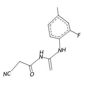 C=C(NC(=O)CC#N)Nc1ccc(C)cc1F